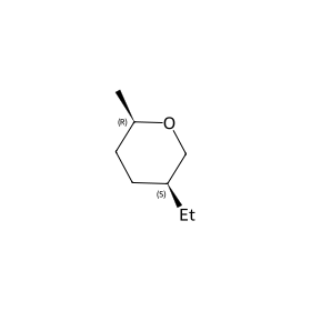 CC[C@H]1CC[C@@H](C)OC1